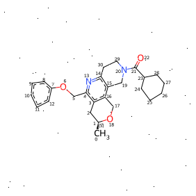 C[C@H]1Cc2c(COc3ccccc3)nc3c(c2CO1)CN(C(=O)C1CCCCC1)CC3